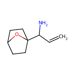 C=CC(N)C12CCC(CC1)O2